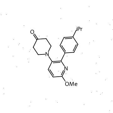 COc1ccc(N2CCC(=O)CC2)c(-c2ccc(C(C)C)cc2)n1